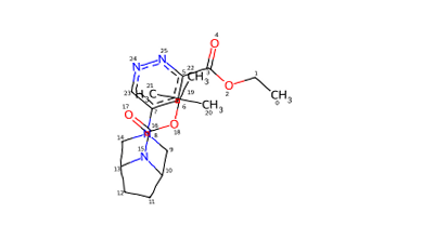 CCOC(=O)c1cc(N2CC3CCC(C2)N3C(=O)OC(C)(C)C)cnn1